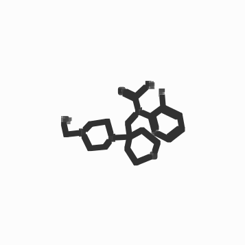 CCC(=O)N(CC1(N2CCN(CC(C)C)CC2)CCOCC1)c1ncccc1F